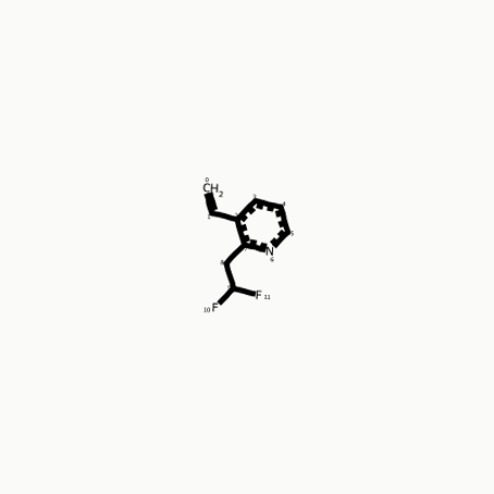 C=Cc1cccnc1CC(F)F